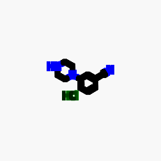 Cl.N#Cc1cccc(N2CCNCC2)c1